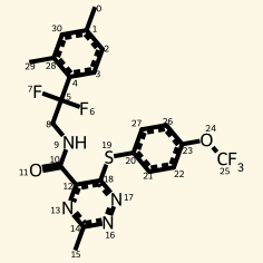 Cc1ccc(C(F)(F)CNC(=O)c2nc(C)nnc2Sc2ccc(OC(F)(F)F)cc2)c(C)c1